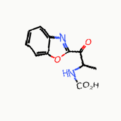 CC(NC(=O)O)C(=O)c1nc2ccccc2o1